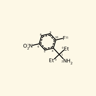 CCC(N)(CC)c1cc([N+](=O)[O-])ccc1F